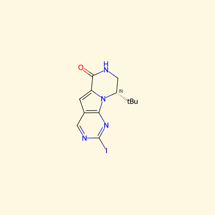 CC(C)(C)[C@H]1CNC(=O)c2cc3cnc(I)nc3n21